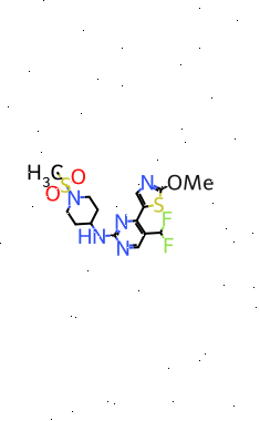 COc1ncc(-c2nc(NC3CCN(S(C)(=O)=O)CC3)ncc2C(F)F)s1